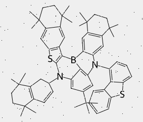 CC1(C)CCC(C)(C)C2=C1C=CC(N1c3cc(C(C)(C)C)cc4c3B(c3cc5c(cc3N4c3cccc4sc6ccccc6c34)C(C)(C)CCC5(C)C)c3c1sc1cc4c(cc31)C(C)(C)CCC4(C)C)C2